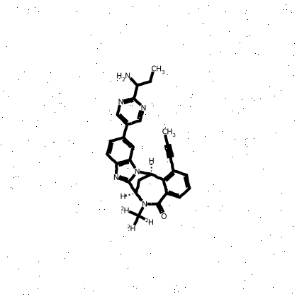 [2H]C([2H])([2H])N1C(=O)c2cccc(C#CC)c2[C@H]2C[C@@H]1c1nc3ccc(-c4cnc(C(N)CC)nc4)cc3n12